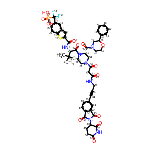 CC(C)(C)[C@H](NC(=O)c1cc2cc(C(F)(F)P(=O)(O)O)ccc2s1)C(=O)N1CCN(C(=O)CC(=O)NCC#Cc2ccc3c(c2)C(=O)N(C2CCC(=O)NC2=O)C3=O)C[C@H]1C(=O)N1CCOC(c2ccccc2)C1